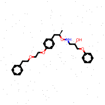 C[C@H](Cc1ccc(OCCOCCc2ccccc2)cc1)ONC[C@H](O)COc1ccccc1